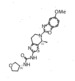 COc1ccc2oc(N3CCc4nc(NC(=O)N[C@@H]5CCOC5)sc4[C@@H]3C)nc2c1